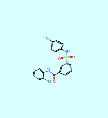 O=C(Nc1ccccc1Cl)c1cccc(S(=O)(=O)Nc2ccc(Cl)cc2)c1